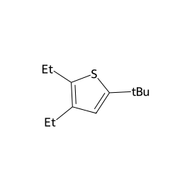 CCc1cc(C(C)(C)C)sc1CC